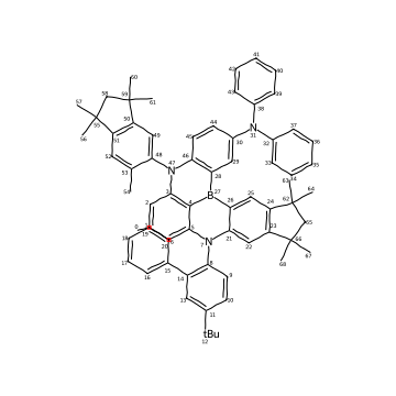 Cc1cc2c3c(c1)N(c1ccc(C(C)(C)C)cc1-c1ccccc1)c1cc4c(cc1B3c1cc(N(c3ccccc3)c3ccccc3)ccc1N2c1cc2c(cc1C)C(C)(C)CC2(C)C)C(C)(C)CC4(C)C